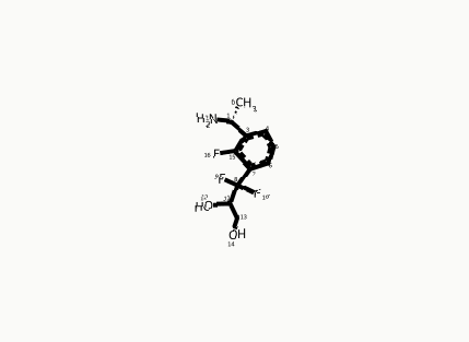 C[C@@H](N)c1cccc(C(F)(F)C(O)CO)c1F